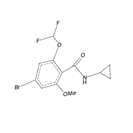 COc1cc(Br)cc(OC(F)F)c1C(=O)NC1CC1